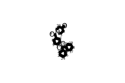 O=C1CCN(C(=O)c2ccc3c(c2)OC(c2ccccc2)(c2ccccc2)O3)CC1